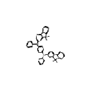 CC1(C)c2ccccc2-c2ccc(N(c3ccccc3)c3ccc(N(c4ccccc4)c4ccc5c(c4)C(C)(C)c4ccccc4-5)cc3)cc21